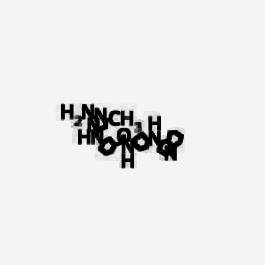 Cc1cc(Nc2cccc(C(=O)Nc3ccc(Nc4ccnc5ccccc45)cc3)c2)nc(N)n1